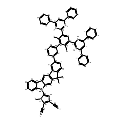 Cc1c(-c2nc(C3=CC=C=C=C3)cc(-c3ccccc3)n2)cc(-c2nc(-c3ccccc3)cc(-c3ccccc3)n2)c(C)c1-c1cccc(-c2ccc3c(c2)-c2cc4c5ccccc5n(-c5nc(C#N)c(C#N)n5C)c4cc2C3(C)C)c1